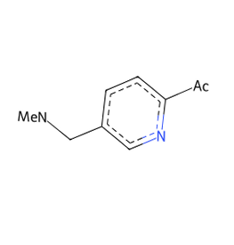 CNCc1ccc(C(C)=O)nc1